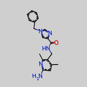 Cc1cc(N)nc(C)c1CNC(=O)c1cn(Cc2ccccc2)cn1